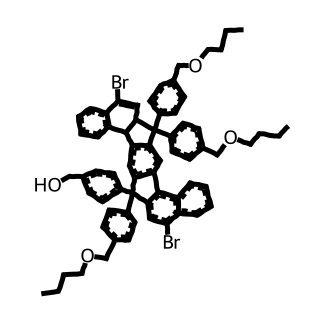 CCCCOCc1ccc(C2(c3ccc(CO)cc3)c3cc4c(cc3-c3c2cc(Br)c2ccccc32)C(c2ccc(COCCCC)cc2)(c2ccc(COCCCC)cc2)C2C=C(Br)c3ccccc3C42)cc1